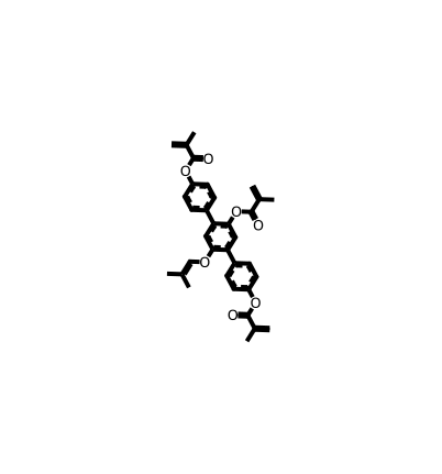 C=C(C)C(=O)Oc1ccc(-c2cc(OC(=O)C(=C)C)c(-c3ccc(OC(=O)C(=C)C)cc3)cc2OC=C(C)C)cc1